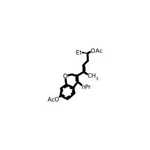 CCCC1=C(/C(C)=C/C[C@@H](CC)OC(C)=O)COc2cc(OC(C)=O)ccc21